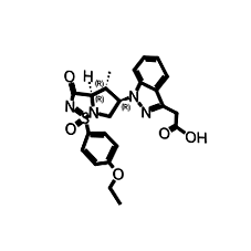 CCOc1ccc(S2(=O)=NC(=O)[C@H]3[C@H](C)[C@@H](n4nc(CC(=O)O)c5ccccc54)CN32)cc1